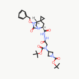 CC(C)(C)OC(=O)N1CC(N(CC(=O)NNC(=O)[C@@H]2CC3(CC3)[C@@H]3CN2C(=O)N3OCc2ccccc2)C(=O)OC(C)(C)C)C1